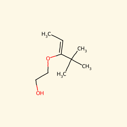 CC=C(OCCO)C(C)(C)C